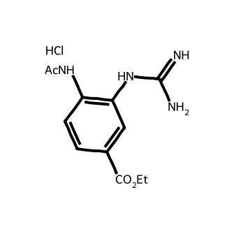 CCOC(=O)c1ccc(NC(C)=O)c(NC(=N)N)c1.Cl